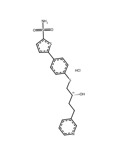 Cl.NS(=O)(=O)c1ccc(-c2ccc(SC[C@H](O)CCc3cccnc3)cc2)s1